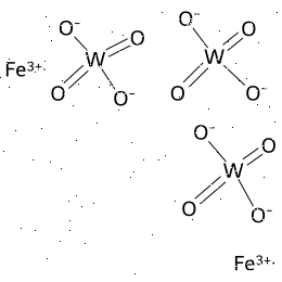 [Fe+3].[Fe+3].[O]=[W](=[O])([O-])[O-].[O]=[W](=[O])([O-])[O-].[O]=[W](=[O])([O-])[O-]